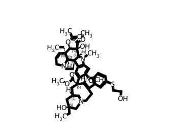 CC[C@]1(O)C[C@H]2CN(CCc3c([nH]c4ccc(SCCO)cc34)[C@@](C(=O)OC)(c3cc4c(cc3OC)N(C)[C@H]3[C@@](O)(C(=O)OC)[C@H](OC(C)=O)[C@]5(CC)C=CCN6CC[C@]43[C@@H]65)C2)C1